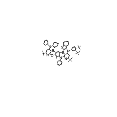 Cc1c2c(cc3c1N(c1ccccc1)c1nc(C(C)(C)C)cc4c1B3c1sc3ccccc3c1N4c1ccc3c(c1)C(C)(C)CCC3(C)C)B1c3ccccc3N(c3ccccc3)c3cc(C(C)(C)C)nc(c31)O2